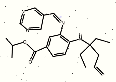 C=CCC(CC)(CC)Nc1ccc(C(=O)OC(C)C)cc1/N=C\c1cncnc1